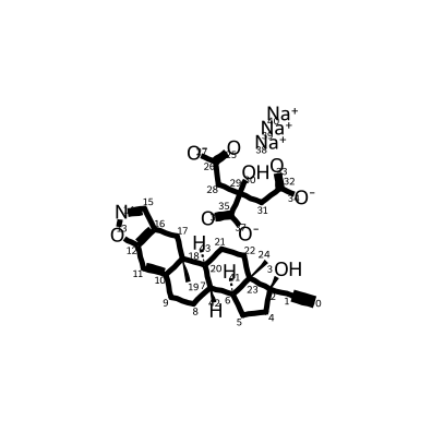 C#C[C@]1(O)CC[C@H]2[C@@H]3CCC4=Cc5oncc5C[C@]4(C)[C@H]3CC[C@@]21C.O=C([O-])CC(O)(CC(=O)[O-])C(=O)[O-].[Na+].[Na+].[Na+]